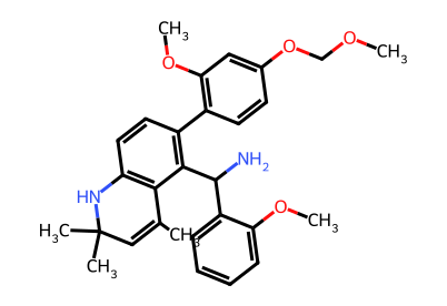 COCOc1ccc(-c2ccc3c(c2C(N)c2ccccc2OC)C(C)=CC(C)(C)N3)c(OC)c1